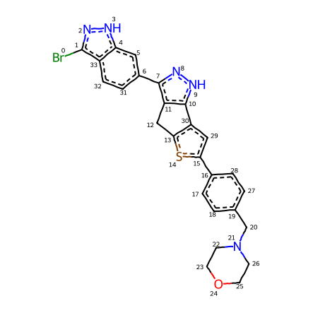 Brc1n[nH]c2cc(-c3n[nH]c4c3Cc3sc(-c5ccc(CN6CCOCC6)cc5)cc3-4)ccc12